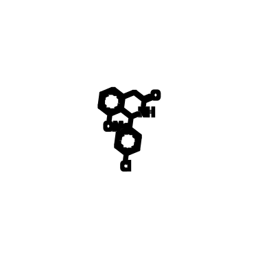 COc1cccc2c1C(c1ccc(Cl)cc1)NC(=O)C2